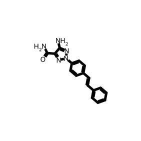 NC(=O)c1nn(-c2ccc(/C=C/c3ccccc3)cc2)nc1N